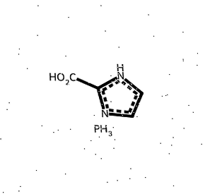 O=C(O)c1ncc[nH]1.P